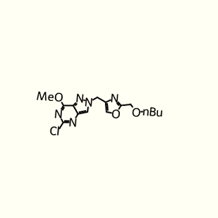 CCCCOCc1nc(Cn2cc3nc(Cl)nc(OC)c3n2)co1